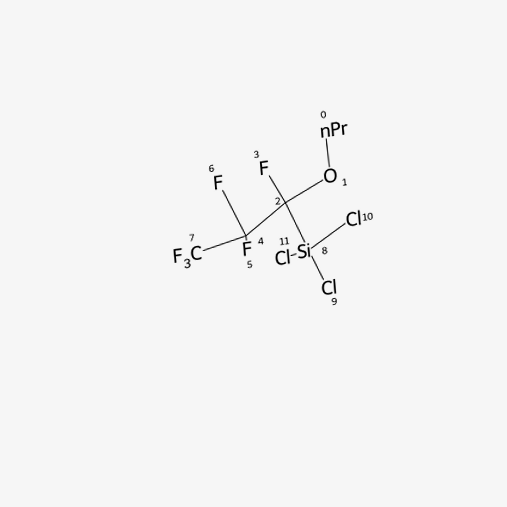 CCCOC(F)(C(F)(F)C(F)(F)F)[Si](Cl)(Cl)Cl